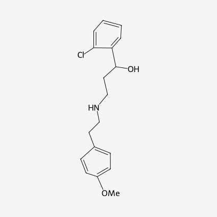 COc1ccc(CCNCCC(O)c2ccccc2Cl)cc1